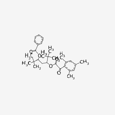 Cc1cc(C)c(C(=O)C(=O)OC(CC(OC(=O)c2ccccc2)C(C)(C)C)C(C)(C)C)c(C)c1